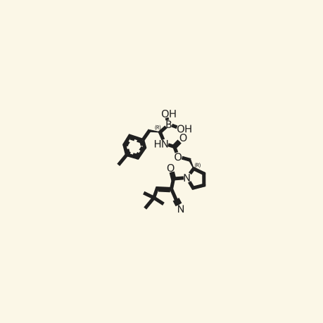 Cc1ccc(C[C@H](NC(=O)OC[C@H]2CCCN2C(=O)C(C#N)=CC(C)(C)C)B(O)O)cc1